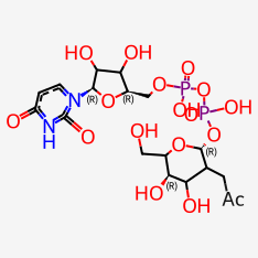 CC(=O)CC1C(O)[C@@H](O)C(CO)O[C@@H]1OP(=O)(O)OP(=O)(O)OC[C@H]1O[C@@H](n2ccc(=O)[nH]c2=O)C(O)C1O